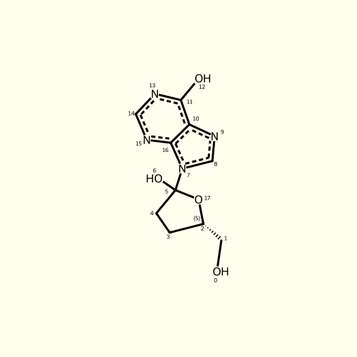 OC[C@@H]1CCC(O)(n2cnc3c(O)ncnc32)O1